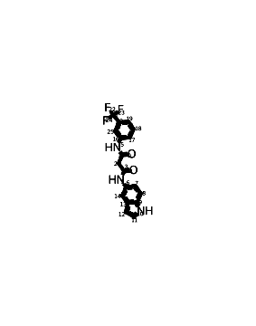 O=C(CC(=O)Nc1ccc2[nH]ccc2c1)Nc1cccc(C(F)(F)F)c1